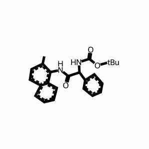 Cc1ccc2ccccc2c1NC(=O)C(NC(=O)OC(C)(C)C)c1ccccc1